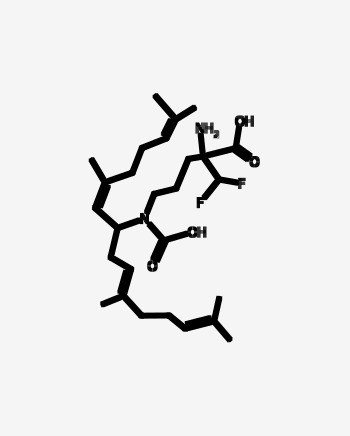 CC(C)=CCCC(C)=CCC(C=C(C)CCC=C(C)C)N(CCCC(N)(C(=O)O)C(F)F)C(=O)O